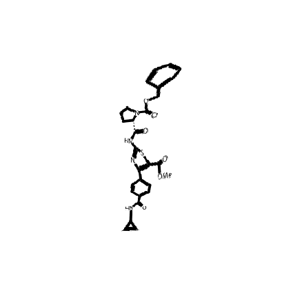 COC(=O)c1sc(NC(=O)[C@@H]2CCCN2C(=O)OCc2ccccc2)nc1-c1ccc(C(=O)NC2CC2)cc1